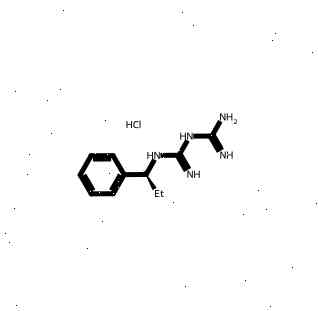 CC[C@H](NC(=N)NC(=N)N)c1ccccc1.Cl